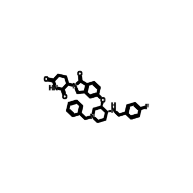 O=C1CCC(N2Cc3cc(O[C@@H]4CN(Cc5ccccc5)CC[C@H]4NCc4ccc(F)cc4)ccc3C2=O)C(=O)N1